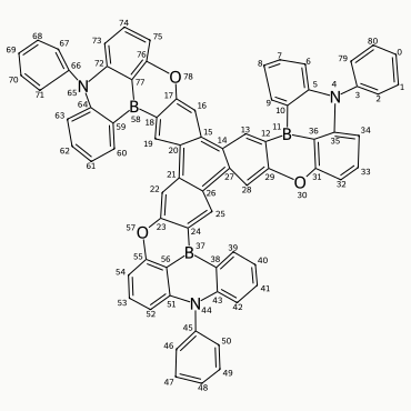 c1ccc(N2c3ccccc3B3c4cc5c6cc7c(cc6c6cc8c(cc6c5cc4Oc4cccc2c43)B2c3ccccc3N(c3ccccc3)c3cccc(c32)O8)B2c3ccccc3N(c3ccccc3)c3cccc(c32)O7)cc1